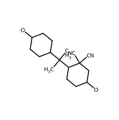 CC(C)(C1CCC([O])CC1)C1CCC([O])CC1(C#N)C#N